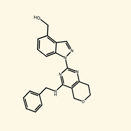 OCc1cccc2c1cnn2-c1nc2c(c(NCc3ccccc3)n1)COCC2